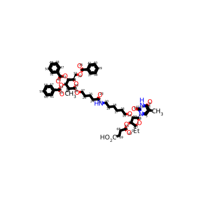 CC[C@H]1O[C@@H](n2cc(C)c(=O)[nH]c2=O)[C@@H](OCCCCCCNC(=O)CCCCO[C@@H]2O[C@H](COC(=O)c3ccccc3)[C@H](OC(=O)c3ccccc3)[C@H](OC(=O)c3ccccc3)[C@H]2C)C1OC(=O)CCC(=O)O